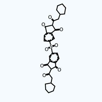 O=C(CC1CCCCC1)C1C(=O)c2ccc(S(=O)(=O)c3ccc4c(c3)C(=O)C(C(=O)CC3CCCCC3)C4=O)cc2C1=O